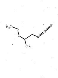 CSSC(C)CN=[N+]=[N-]